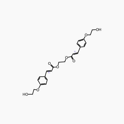 O=C(/C=C/c1ccc(OCCO)cc1)OCCOC(=O)/C=C/c1ccc(OCCO)cc1